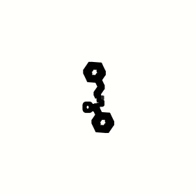 O=C(SCCc1ccccc1)c1ccccc1